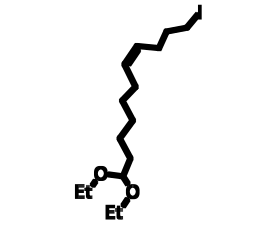 CCOC(CCCCC/C=C\CCCI)OCC